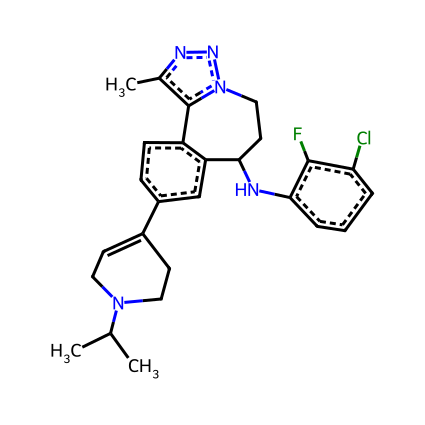 Cc1nnn2c1-c1ccc(C3=CCN(C(C)C)CC3)cc1C(Nc1cccc(Cl)c1F)CC2